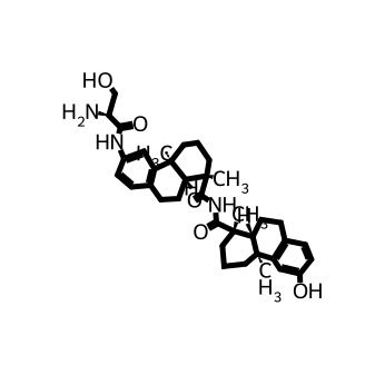 C[C@]1(C(=O)NC(=O)[C@@]2(C)CCC[C@]3(C)c4cc(NC(=O)[C@@H](N)CO)ccc4CC[C@@H]23)CCC[C@]2(C)c3cc(O)ccc3CC[C@@H]12